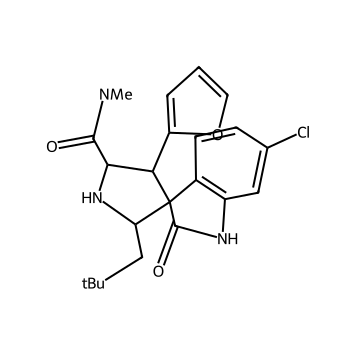 CNC(=O)C1NC(CC(C)(C)C)C2(C(=O)Nc3cc(Cl)ccc32)C1c1ccco1